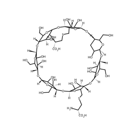 N[C@H](CSCC1O[C@@H]2O[C@H]3CC(O)[C@@H](OC3CO)O[C@@H]3C(CO)O[C@@H](O[C@@H]4C(CSC[C@@H](N)C(=O)O)O[C@@H](O[C@@H]5C(CO)O[C@H](O[C@@H]6C(CO)O[C@H](O[C@@H]7C(CO)OC(O[C@H]1[C@H](O)C2O)C(O)[C@H]7O)C(O)[C@H]6O)C(O)[C@H]5O)C(O)[C@H]4O)C(O)[C@H]3O)C(=O)O